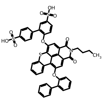 CCCCn1c(=O)c2cc(Oc3ccc(S(=O)(=O)O)cc3-c3ccc(S(=O)(=O)O)cc3)c3sc4ccccc4c4c(Oc5ccccc5-c5ccccc5)cc(c1=O)c2c34